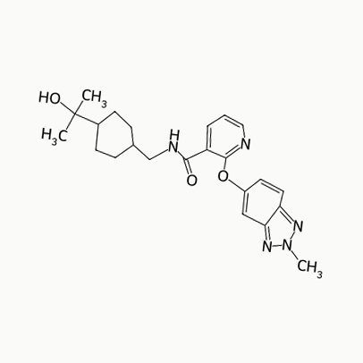 Cn1nc2ccc(Oc3ncccc3C(=O)NCC3CCC(C(C)(C)O)CC3)cc2n1